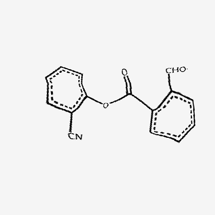 N#Cc1ccccc1OC(=O)c1ccccc1[C]=O